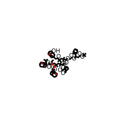 CCC(C)(CC(C)(CC(C)(CC(C)(CC(C)(C)C(=O)OCC(=O)OC(CC(=O)OC(C)(C)C)C1CC2C=CC1C2)C(=O)CC12CC3CC(CC(O)(C3)C1)C2)C(=O)OC1C2CC3C(=O)OC1C3C2)C(=O)OC1(C)C2CC3CC(C2)CC1C3)C(=O)OC1(C(C)C)C2CC3CC(C2)CC1C3